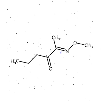 CCCC(=O)/C(C)=N/OC